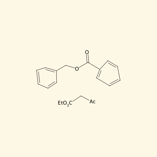 CCOC(=O)CC(C)=O.O=C(OCc1ccccc1)c1ccccc1